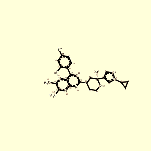 [2H][C@@]1(c2cnn(C3CC3)c2)C[C@H](c2nc(-c3ccc(F)cc3F)c3nc(C)c(C)nc3n2)CCO1